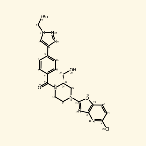 CC(C)(C)Cn1cc(-c2ccc(C(=O)N3CCN(c4nc5nc(Cl)ccc5o4)C[C@H]3CO)cc2)nn1